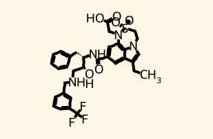 CCc1cn2c3c(cc(C(=O)N[C@@H](Cc4ccccc4)[C@H](O)CNCc4cccc(C(F)(F)F)c4)cc13)N(CC(=O)O)S(=O)(=O)CC2